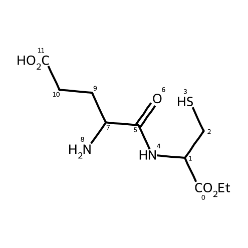 CCOC(=O)C(CS)NC(=O)C(N)CCC(=O)O